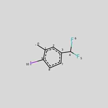 [CH2]c1cc(C(F)F)ccc1I